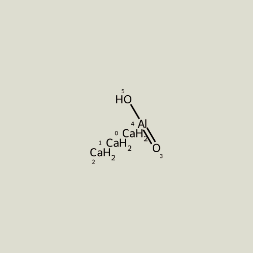 [CaH2].[CaH2].[CaH2].[O]=[Al][OH]